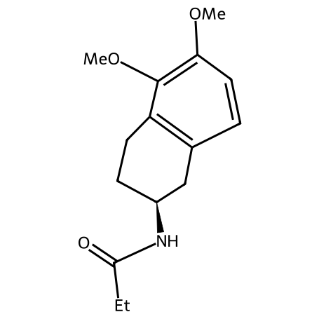 CCC(=O)N[C@H]1CCc2c(ccc(OC)c2OC)C1